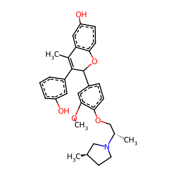 COc1cc(C2Oc3ccc(O)cc3C(C)=C2c2cccc(O)c2)ccc1OC[C@H](C)N1CC[C@@H](C)C1